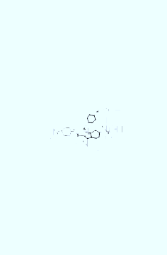 CCOC(=O)c1ccc(Cn2c(C(=O)NC3CCC(N)CC3)c(N)c3ccc(NC(=O)O)cc32)cc1